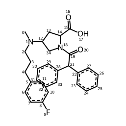 CN(CCCc1ccc(F)cc1)C1CC(C(=O)O)N(C(=O)C(c2ccccc2)c2ccccc2)C1